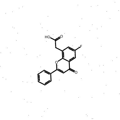 O=C(O)Cc1cc(F)cc2c(=O)cc(-c3ccccc3)oc12